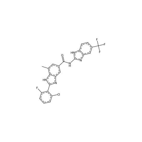 Cc1cc(C(=O)Nc2nc3cc(C(F)(F)F)ccc3[nH]2)cc2nc(-c3c(F)cccc3Cl)[nH]c12